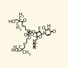 CC(C)(CO)CSCCOP(=O)(OCCSC(=O)C(C)(C)CO)OC[C@@]1(CN=[N+]=[N-])O[C@@H](n2ccc(=O)[nH]c2=O)[C@H](F)[C@@H]1O